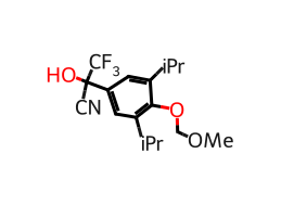 COCOc1c(C(C)C)cc(C(O)(C#N)C(F)(F)F)cc1C(C)C